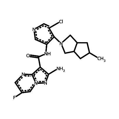 CC1CC2CN(c3c(Cl)cncc3NC(=O)c3c(N)nn4cc(F)cnc34)CC2C1